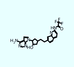 Nc1ncnc2c1ccn2C1CC(CCc2ccc3ccc(NC(=O)C(F)(F)F)nc3c2)C[C@H]1O